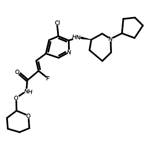 O=C(NOC1CCCCO1)C(F)=Cc1cnc(N[C@@H]2CCCN(C3CCCC3)C2)c(Cl)c1